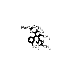 COC(=O)OC1=C(C)NC(C)=C(c2nc(C)no2)C1c1cccc([N+](=O)[O-])c1